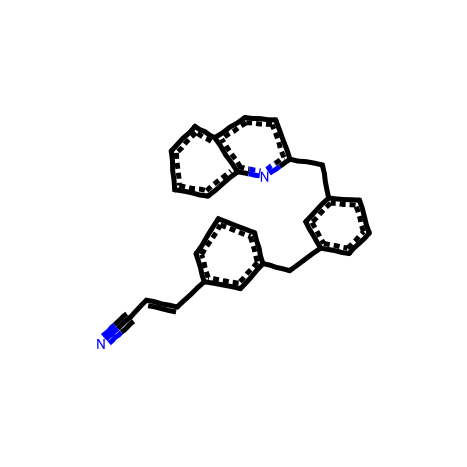 N#CC=Cc1cccc(Cc2cccc(Cc3ccc4ccccc4n3)c2)c1